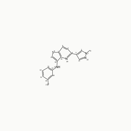 Cn1cc(-c2ccc3scc(Nc4cccc(F)c4)c3n2)cn1